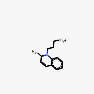 CC1C=Cc2ccccc2N1CCCS(=O)(=O)O